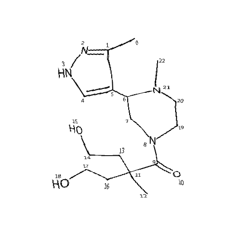 Cc1n[nH]cc1C1CN(C(=O)C(C)(CCO)CCO)CCN1C